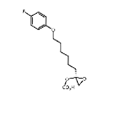 O=C(O)O[C@]1(CCCCCCOc2ccc(F)cc2)CO1